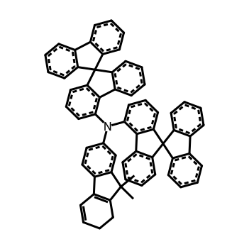 CC1(C)C2=C(C=CCC2)c2ccc(N(c3cccc4c3-c3ccccc3C43c4ccccc4-c4ccccc43)c3cccc4c3-c3ccccc3C43c4ccccc4-c4ccccc43)cc21